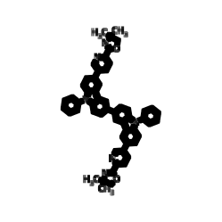 CC1(C)COC(c2ccc(-c3ccc4c(c3)c3cc(-c5ccc6c(c5)c5cc(-c7ccc(C8=NC(C)(C)CO8)nc7)ccc5n6-c5ccccc5)ccc3n4-c3ccccc3)cn2)=N1